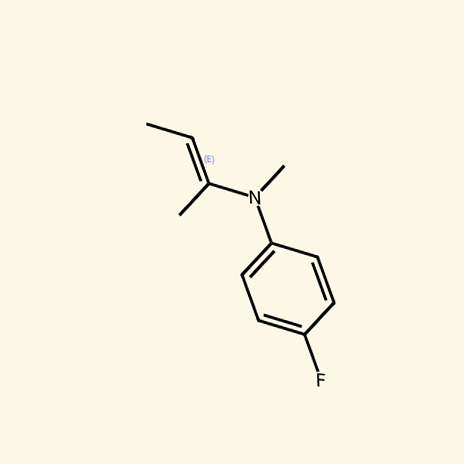 C/C=C(\C)N(C)c1ccc(F)cc1